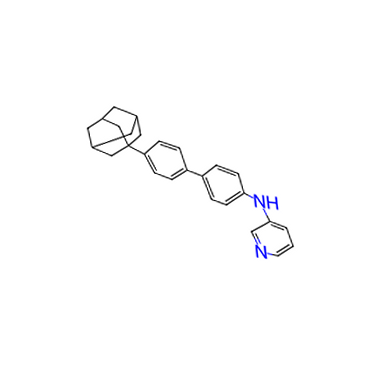 c1cncc(Nc2ccc(-c3ccc(C45CC6CC(CC(C6)C4)C5)cc3)cc2)c1